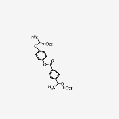 CCCCCCCCOC(C)c1ccc(C(=O)Oc2ccc(OC(CCC)CCCCCCCC)cc2)cc1